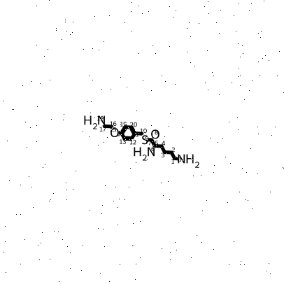 NCCCCC(N)C(=O)SCc1ccc(OCCN)cc1